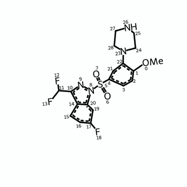 COc1ccc(S(=O)(=O)n2nc(C(F)F)c3ccc(F)cc32)cc1N1CCNCC1